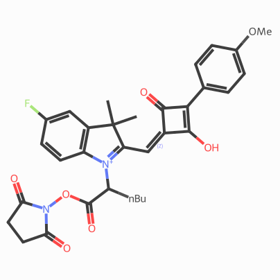 CCCCC(C(=O)ON1C(=O)CCC1=O)[N+]1=C(/C=C2\C(=O)C(c3ccc(OC)cc3)=C2O)C(C)(C)c2cc(F)ccc21